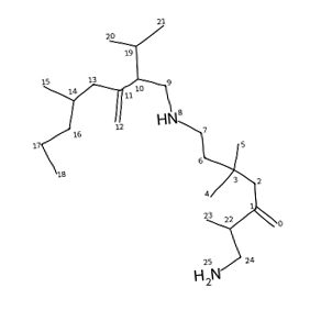 C=C(CC(C)(C)CCNCC(C(=C)CC(C)CCC)C(C)C)C(C)CN